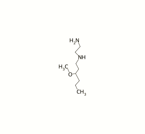 CCCC(CCNCCN)OC